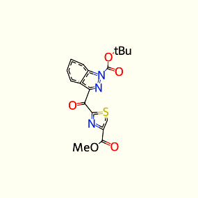 COC(=O)c1csc(C(=O)c2nn(C(=O)OC(C)(C)C)c3ccccc23)n1